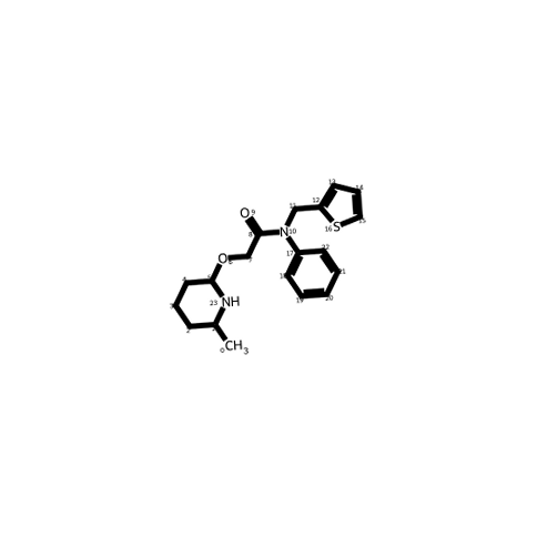 CC1CCCC(OCC(=O)N(Cc2cccs2)c2ccccc2)N1